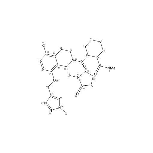 CNC(=O)C1CCCCC1C(=O)N1CCc2c(Cl)ccc(OCc3cn(C)nn3)c2[C@H]1CN1CCCC1=O